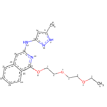 CCOCCOCCOc1nc(Nc2cc(C)[nH]n2)cc2ccccc12